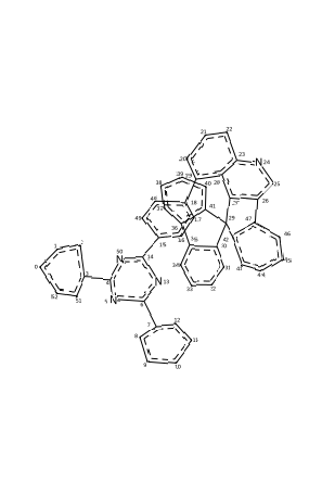 c1ccc(-c2nc(-c3ccccc3)nc(-c3ccc(-c4cccc5ncc6c(c45)C4(c5ccccc5-c5ccccc54)c4ccccc4-6)cc3)n2)cc1